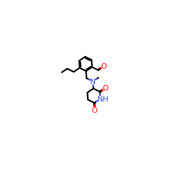 CCCc1cccc(C=O)c1CN(C)C1CCC(=O)NC1=O